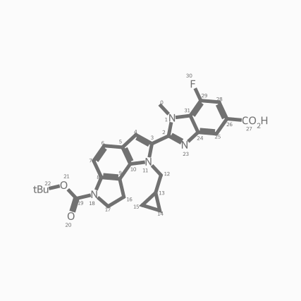 Cn1c(-c2cc3ccc4c(c3n2CC2CC2)CCN4C(=O)OC(C)(C)C)nc2cc(C(=O)O)cc(F)c21